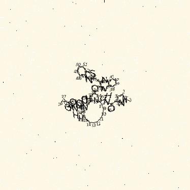 Cn1ccc(C(=O)N[C@H]2CCCCCC=C[C@@H]3C[C@@]3(C(=O)NS(=O)(=O)C3CC3)NC(=O)[C@@H]3C[C@@H](Oc4nc5ccccc5nc4-c4nc5ccccc5s4)CN3C2=O)n1